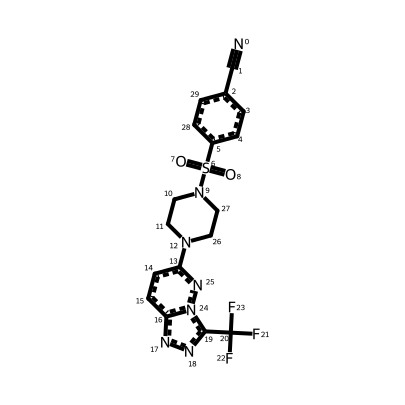 N#Cc1ccc(S(=O)(=O)N2CCN(c3ccc4nnc(C(F)(F)F)n4n3)CC2)cc1